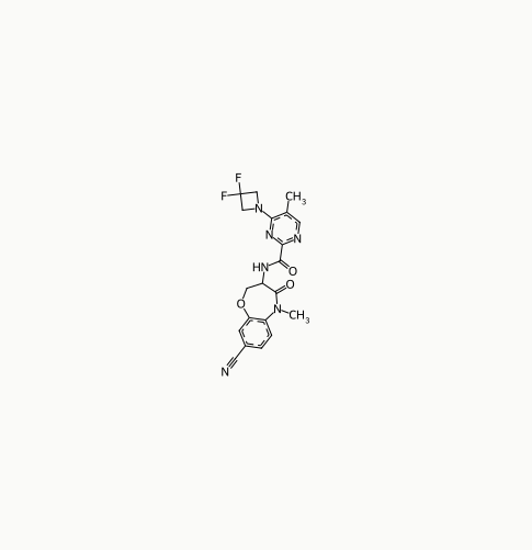 Cc1cnc(C(=O)NC2COc3cc(C#N)ccc3N(C)C2=O)nc1N1CC(F)(F)C1